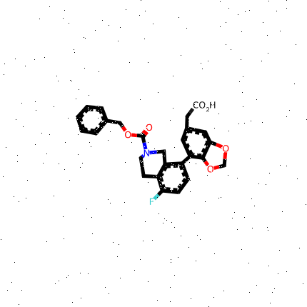 O=C(O)Cc1cc2c(c(-c3ccc(F)c4c3CN(C(=O)OCc3ccccc3)CC4)c1)OCO2